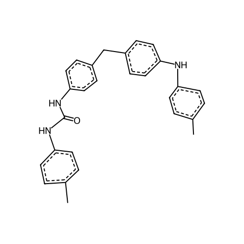 Cc1ccc(NC(=O)Nc2ccc(Cc3ccc(Nc4ccc(C)cc4)cc3)cc2)cc1